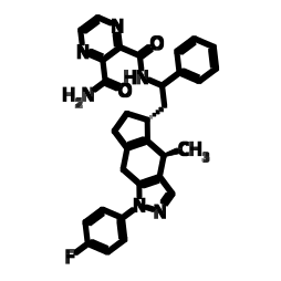 C[C@@H]1C2=C(CC[C@@H]2CC(NC(=O)c2nccnc2C(N)=O)c2ccccc2)Cc2c1cnn2-c1ccc(F)cc1